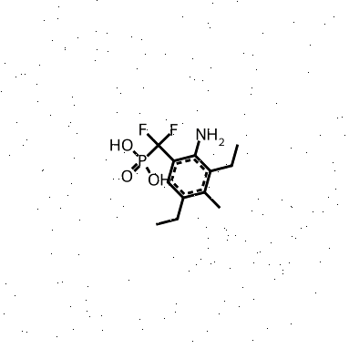 CCc1cc(C(F)(F)P(=O)(O)O)c(N)c(CC)c1C